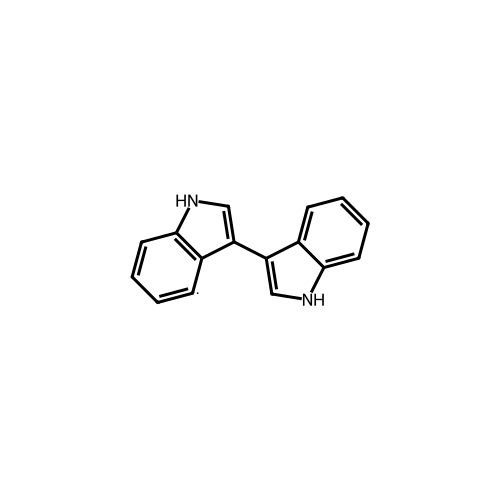 [c]1cccc2[nH]cc(-c3c[nH]c4ccccc34)c12